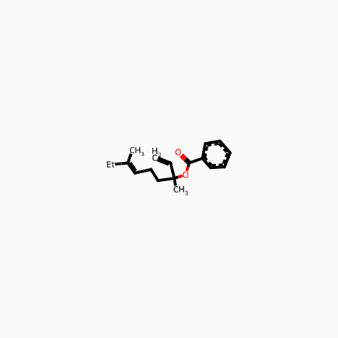 C=CC(C)(CCC=C(C)CC)OC(=O)c1ccccc1